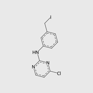 Clc1ccnc(Nc2cccc(CI)c2)n1